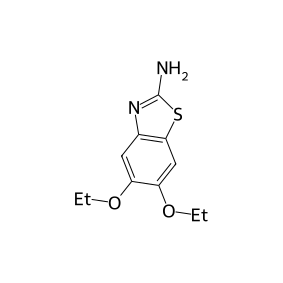 CCOc1cc2nc(N)sc2cc1OCC